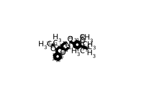 CCC(C)(C)c1ccc(C(=O)N2CCC3(CC2)CC(OC(C)C)c2ccccc2O3)cc1OC